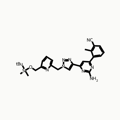 Cc1c(C#N)cccc1-c1cc(-c2cn(Cc3cccc(CO[Si](C)(C)C(C)(C)C)n3)nn2)nc(N)n1